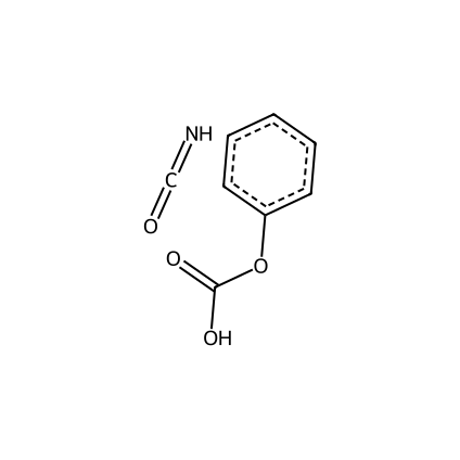 N=C=O.O=C(O)Oc1ccccc1